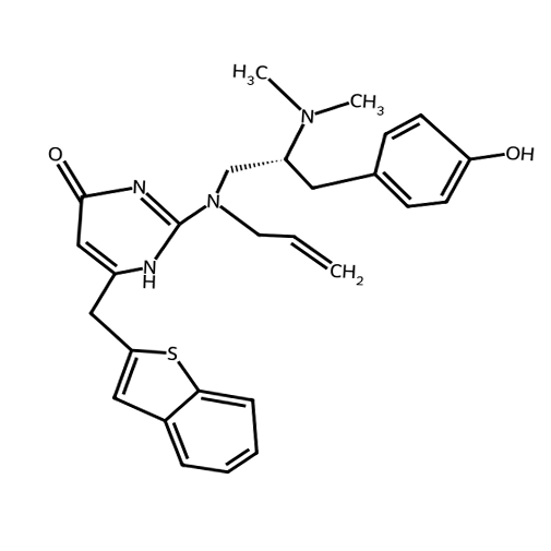 C=CCN(C[C@@H](Cc1ccc(O)cc1)N(C)C)c1nc(=O)cc(Cc2cc3ccccc3s2)[nH]1